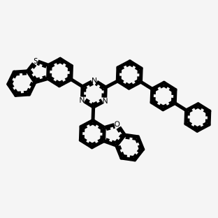 c1ccc(-c2ccc(-c3cccc(-c4nc(-c5ccc6sc7ccccc7c6c5)nc(-c5cccc6c5oc5ccccc56)n4)c3)cc2)cc1